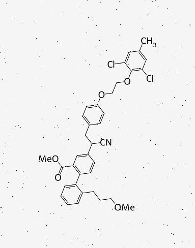 COCCCc1ccccc1-c1ccc(C(C#N)Cc2ccc(OCCOc3c(Cl)cc(C)cc3Cl)cc2)cc1C(=O)OC